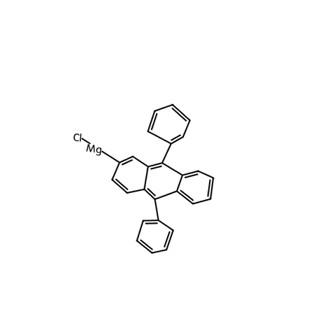 [Cl][Mg][c]1ccc2c(-c3ccccc3)c3ccccc3c(-c3ccccc3)c2c1